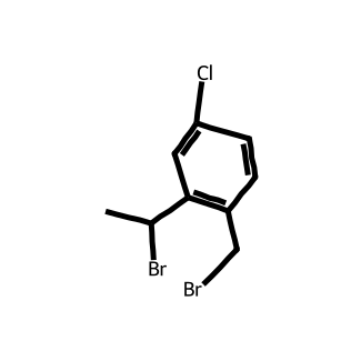 CC(Br)c1cc(Cl)ccc1CBr